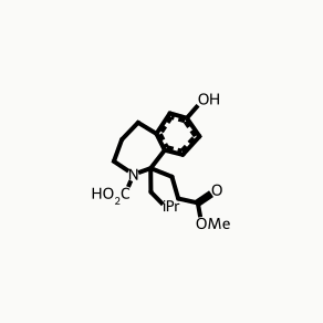 COC(=O)CCC1(CC(C)C)c2ccc(O)cc2CCCN1C(=O)O